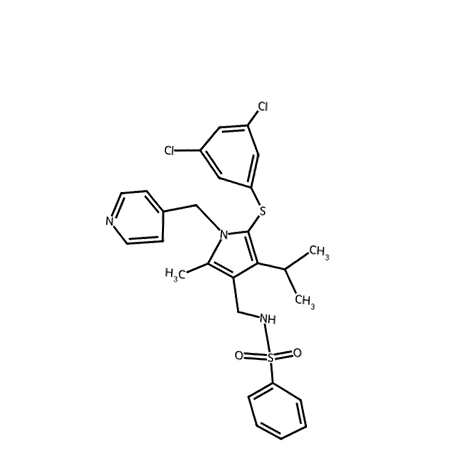 Cc1c(CNS(=O)(=O)c2ccccc2)c(C(C)C)c(Sc2cc(Cl)cc(Cl)c2)n1Cc1ccncc1